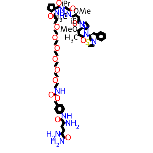 CC[C@H](C)[C@@H]([C@@H](CC(=O)N1CCC[C@H]1[C@H](OC)[C@@H](C)C(=O)N[C@@H](Cc1ccccc1)c1nccs1)OC)N(C)C(=O)[C@@H](NC(=O)C1(NC(=O)CCOCCOCCOCCOCCOCCOCCNC(=O)OCc2ccc(NC(=O)[C@@H](N)CCC(N)C(N)=O)cc2)CCCC1)C(C)C